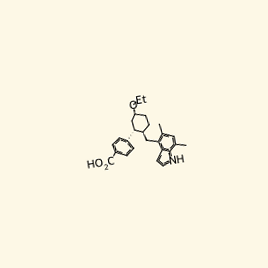 CCO[C@H]1CC[C@@H](Cc2c(C)cc(C)c3[nH]ccc23)[C@H](c2ccc(C(=O)O)cc2)C1